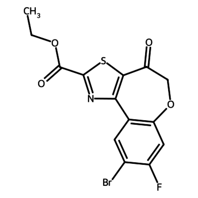 CCOC(=O)c1nc2c(s1)C(=O)COc1cc(F)c(Br)cc1-2